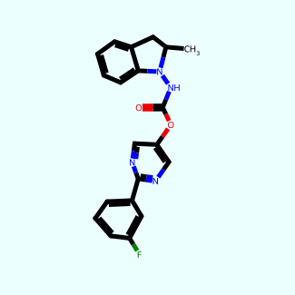 CC1Cc2ccccc2N1NC(=O)Oc1cnc(-c2cccc(F)c2)nc1